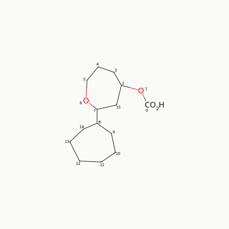 O=C(O)OC1CCCOC(C2CCCCCC2)C1